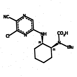 CC(C)(C)N(C(=O)O)[C@H]1CCCC[C@H]1Nc1cnc(C#N)c(Cl)n1